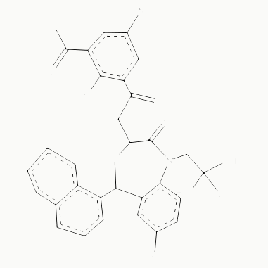 CC(C)(C)CN1C(=O)C(CC(=O)c2cc(N)cc(C(=O)O)c2O)OC(c2cccc3ccccc23)c2cc(Cl)ccc21